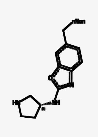 CCCCCCCCCCc1ccc2nc(N[C@@H]3CCNC3)oc2c1